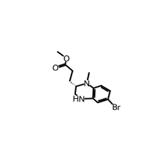 COC(=O)CC[C@H]1CNc2cc(Br)ccc2N1C